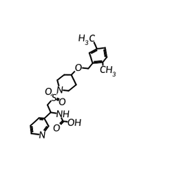 Cc1ccc(C)c(COC2CCN(S(=O)(=O)CC(NC(=O)O)c3cccnc3)CC2)c1